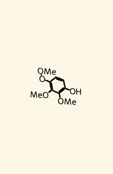 COOc1ccc(O)c(OC)c1OC